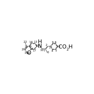 CC(=Cc1ccc(C(=O)O)cc1)CNc1ccc2c(c1)OCC=C2C